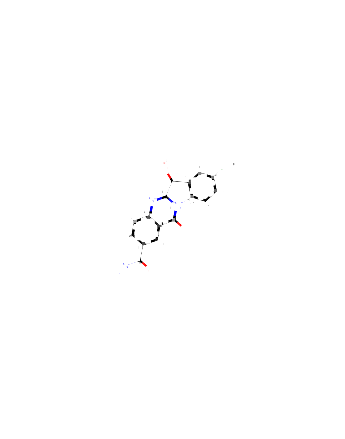 NC(=O)c1ccc2nc3n(c(=O)c2c1)-c1ccc(F)cc1C3=O